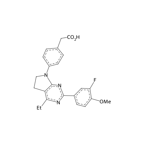 CCc1nc(-c2ccc(OC)c(F)c2)nc2c1CCN2c1ccc(CC(=O)O)cc1